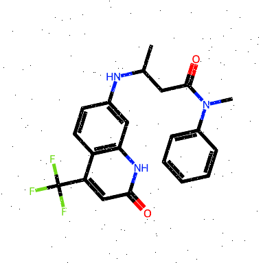 CC(CC(=O)N(C)c1ccccc1)Nc1ccc2c(C(F)(F)F)cc(=O)[nH]c2c1